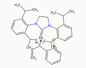 C=C[CH]([Pd]=[C]1N(c2c(C(C)C)cccc2C(C)C)CCN1c1c(C(C)C)cccc1C(C)C)c1ccccc1Cl